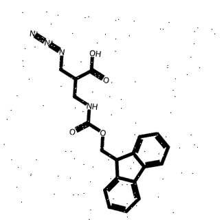 [N-]=[N+]=NCC(CNC(=O)OCC1c2ccccc2-c2ccccc21)C(=O)O